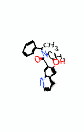 CC(c1ccccc1)N(C)C(=O)c1cc2ncccc2cc1O